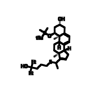 CCC(O)(CC)CCCSC(C)C1=CC[C@H]2C3=CC=C4C[C@@H](O)C[C@H](O[Si](C)(C)C(C)(C)C)[C@]4(C)[C@H]3CC[C@]12C